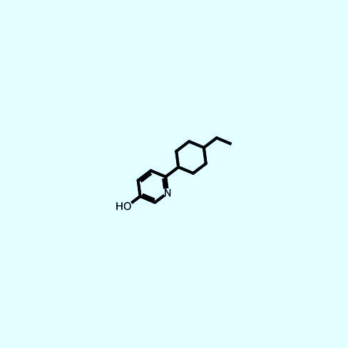 CCC1CCC(c2ccc(O)cn2)CC1